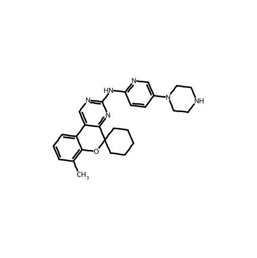 Cc1cccc2c1OC1(CCCCC1)c1nc(Nc3ccc(N4CCNCC4)cn3)ncc1-2